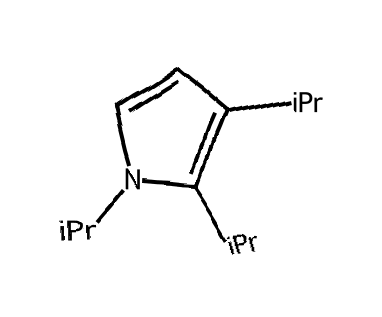 CC(C)c1ccn(C(C)C)c1C(C)C